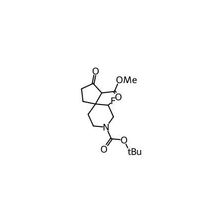 COC(=O)C1C(=O)CCC12CCN(C(=O)OC(C)(C)C)CC2F